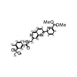 COC(OC)c1cccc(-c2ccc3cnc(CNC(=O)c4ccc(C)c(S(C)(=O)=O)c4)cc3n2)n1